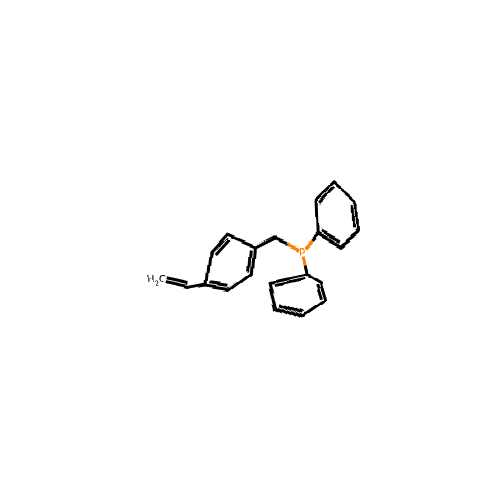 C=Cc1ccc(CP(c2ccccc2)c2ccccc2)cc1